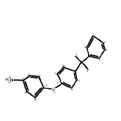 CC(C)(c1ccccc1)c1ccc(Oc2ccc(N)cc2)cc1